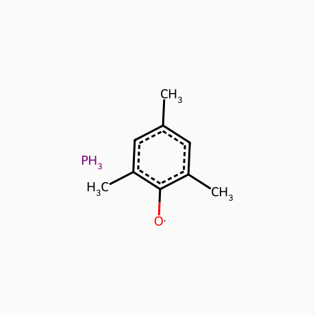 Cc1cc(C)c([O])c(C)c1.P